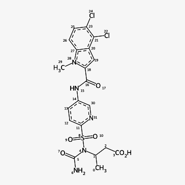 CC(CC(=O)O)N(C(N)=O)S(=O)(=O)c1ccc(NC(=O)c2cc3c(Cl)c(Cl)ccc3n2C)cn1